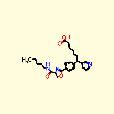 CCCCCNC(=O)C1COC(c2ccc(/C(=C\CCCCC(=O)O)c3cccnc3)cc2)=N1